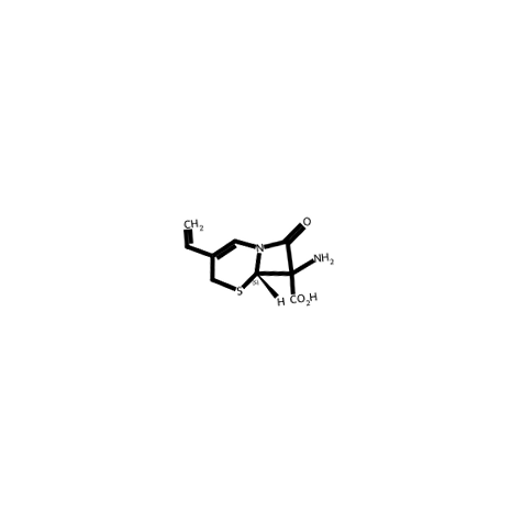 C=CC1=CN2C(=O)C(N)(C(=O)O)[C@@H]2SC1